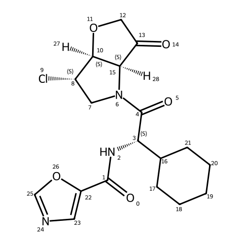 O=C(N[C@H](C(=O)N1C[C@H](Cl)[C@H]2OCC(=O)[C@H]21)C1CCCCC1)c1cnco1